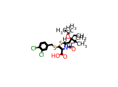 CC[C@](O[SiH](C)C)([C@@H]1C(=O)N2C(C(=O)O)=C(SCc3ccc(Cl)c(Cl)c3)S[C@H]12)C(C)(C)C